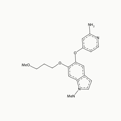 CNn1ccc2cc(Oc3ccnc(N)c3)c(OCCCOC)cc21